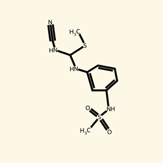 CSC(NC#N)Nc1cccc(NS(C)(=O)=O)c1